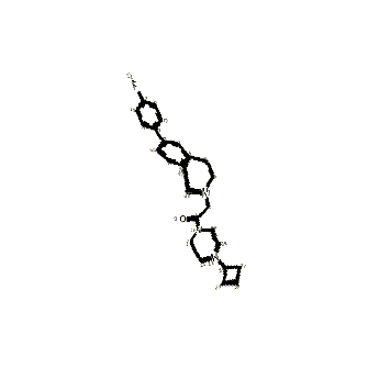 O=C(CN1CCc2cc(-c3ccc(F)cc3)ccc2C1)N1CCN(C2CCC2)CC1